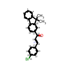 CC1(C)c2ccccc2-c2ccc(C(=O)/C=C/c3ccc(Br)cc3)cc21